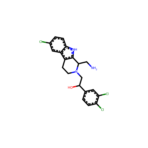 NCC1c2[nH]c3ccc(Cl)cc3c2CCN1CC(O)c1ccc(Cl)c(Cl)c1